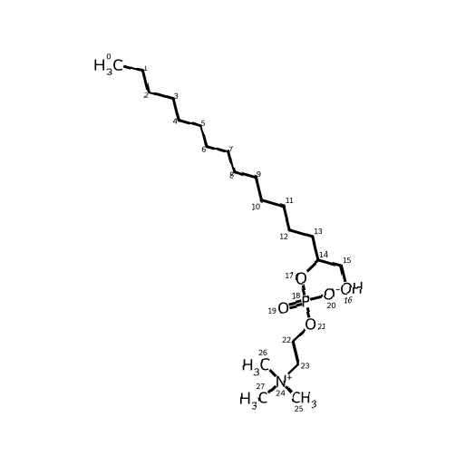 CCCCCCCCCCCCCCC(CO)OP(=O)([O-])OCC[N+](C)(C)C